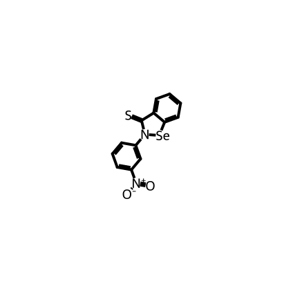 O=[N+]([O-])c1cccc(-n2[se]c3ccccc3c2=S)c1